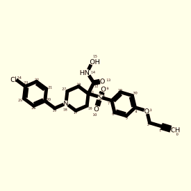 C#CCOc1ccc(S(=O)(=O)C2(C(=O)NO)CCN(Cc3ccc(Cl)cc3)CC2)cc1